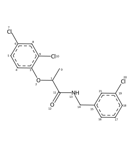 CC(Oc1ccc(Cl)cc1Cl)C(=O)NCc1cccc(Cl)c1